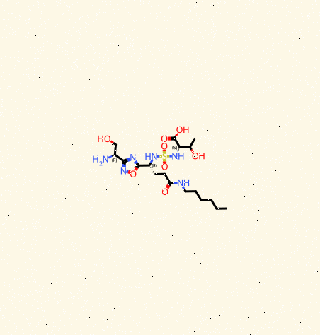 CCCCCCNC(=O)CC[C@@H](NS(=O)(=O)N[C@H](C(=O)O)C(C)O)c1nc([C@@H](N)CO)no1